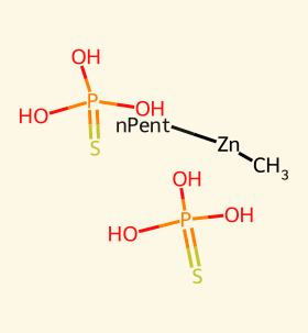 CCCC[CH2][Zn][CH3].OP(O)(O)=S.OP(O)(O)=S